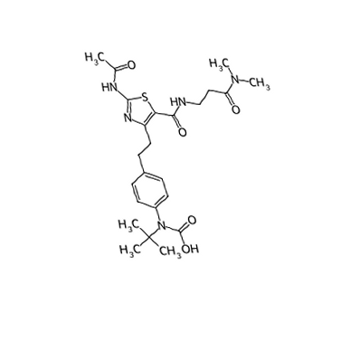 CC(=O)Nc1nc(CCc2ccc(N(C(=O)O)C(C)(C)C)cc2)c(C(=O)NCCC(=O)N(C)C)s1